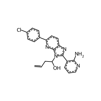 C=CCC(O)n1c(-c2cccnc2N)nc2ccc(-c3ccc(Cl)cc3)nc21